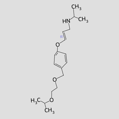 CC(C)NC/C=C/Oc1ccc(COCCOC(C)C)cc1